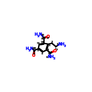 NCCc1c(C(N)=O)cc(C(N)=O)cc1C(N)=O